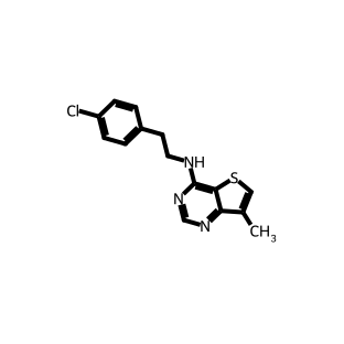 Cc1csc2c(NCCc3ccc(Cl)cc3)ncnc12